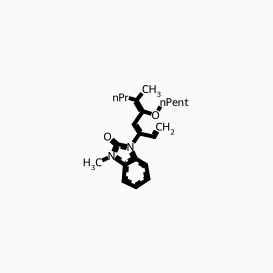 C=C/C(=C\C(OCCCCC)=C(\C)CCC)n1c(=O)n(C)c2ccccc21